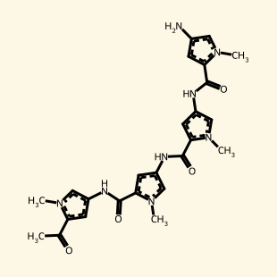 CC(=O)c1cc(NC(=O)c2cc(NC(=O)c3cc(NC(=O)c4cc(N)cn4C)cn3C)cn2C)cn1C